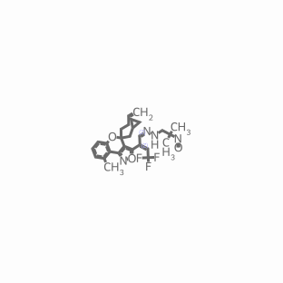 C=CCCC1(CC2CC2)Oc2cccc(C)c2-c2noc(C(/C=N\NCC(C)(C)N=O)=C\C(F)(F)F)c21